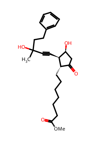 COC(=O)CCCCCC[C@H]1C(=O)C[C@H](O)[C@@H]1C#CC(C)(O)CCc1ccccc1